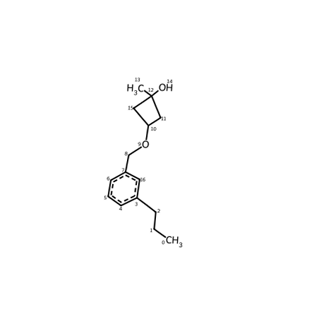 CCCc1cccc(COC2CC(C)(O)C2)c1